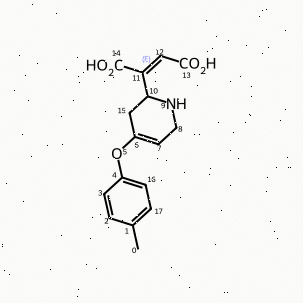 Cc1ccc(OC2=CCNC(/C(=C\C(=O)O)C(=O)O)C2)cc1